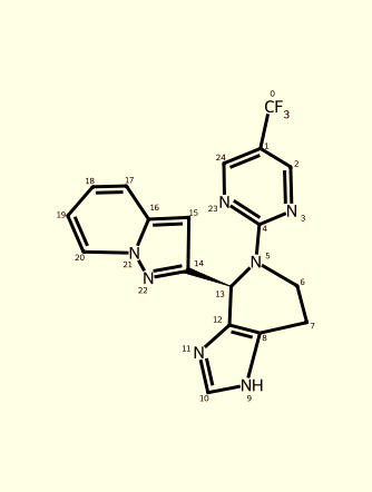 FC(F)(F)c1cnc(N2CCc3[nH]cnc3[C@H]2c2cc3ccccn3n2)nc1